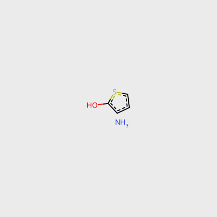 N.Oc1cccs1